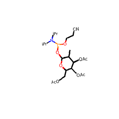 CC(=O)OCC1OC(OP(OCCC#N)N(C(C)C)C(C)C)C(C)C(OC(C)=O)C1OC(C)=O